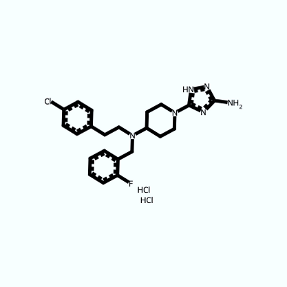 Cl.Cl.Nc1n[nH]c(N2CCC(N(CCc3ccc(Cl)cc3)Cc3ccccc3F)CC2)n1